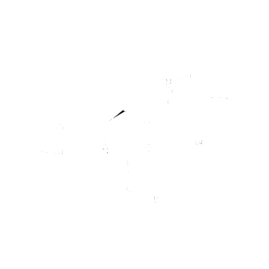 Cc1onc(OC[C@@H]2COC(C)(C)CN2C(=O)OC(C)(C)C)c1Br